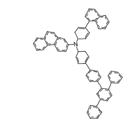 C1=CC(N(c2ccc3c(ccc4ccccc43)c2)C2C=CC(c3cccc4ccccc34)=CC2)CC=C1c1ccc(-c2cc(-c3ccccc3)ccc2-c2ccccc2)cc1